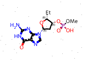 CC[C@H]1O[C@@H](n2cnc3c(=O)[nH]c(N)nc32)C[C@H]1OP(=O)(O)OC